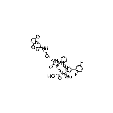 CC(C)(C)[C@H](c1cc(-c2cc(F)ccc2F)cn1Cc1ccccc1)N(CC[C@H](N)C(=O)NCCOCCNC(=O)CN1C(=O)C=CC1=O)C(=O)CO